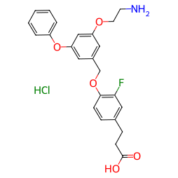 Cl.NCCOc1cc(COc2ccc(CCC(=O)O)cc2F)cc(Oc2ccccc2)c1